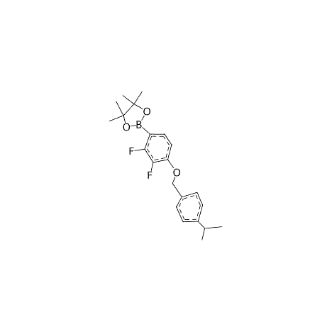 CC(C)c1ccc(COc2ccc(B3OC(C)(C)C(C)(C)O3)c(F)c2F)cc1